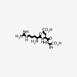 CC(C)[C@H](NC(=O)[C@H](CCC(=O)O)NC(=O)[C@@H](N)CCCNC(=N)N)C(=O)O